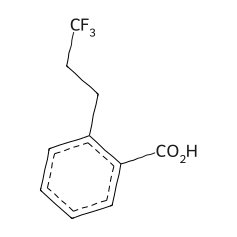 O=C(O)c1ccccc1CCC(F)(F)F